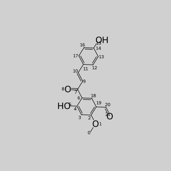 COc1cc(O)c(C(=O)C=Cc2ccc(O)cc2)cc1C=O